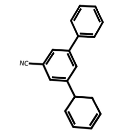 N#Cc1cc(-c2ccccc2)cc(C2C=CC=CC2)c1